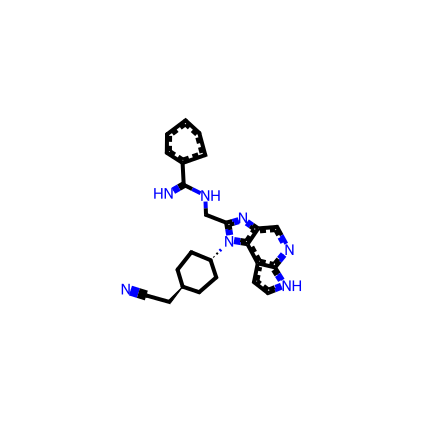 N#CC[C@H]1CC[C@H](n2c(CNC(=N)c3ccccc3)nc3cnc4[nH]ccc4c32)CC1